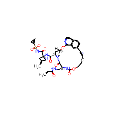 C=CC(=O)NC[C@@H]1NC(=O)OCCC/C=C/c2ccc3ccnc(c3c2)O[C@@H]2C[C@@H](C(=O)NC3(C(=O)NS(=O)(=O)C4=CC4)CC(=C)C3)N(C2)C1=O